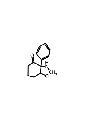 CNC1(c2ccccc2)C(=O)CCCC1Cl